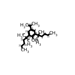 C=C(C)c1cc(C(C)(C)CCCC)c(O)c(C(C)(C)CCCC)c1